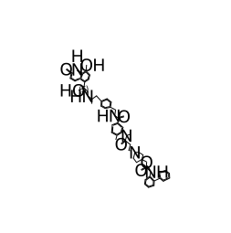 Cc1ccc(C(=O)NCc2ccc(CC(C)NC[C@@H](O)c3ccc(O)c4[nH]c(=O)ccc34)cc2)cc1N(C)C(=O)CCN1CCC(OC(=O)Nc2ccccc2-c2ccccc2)CC1